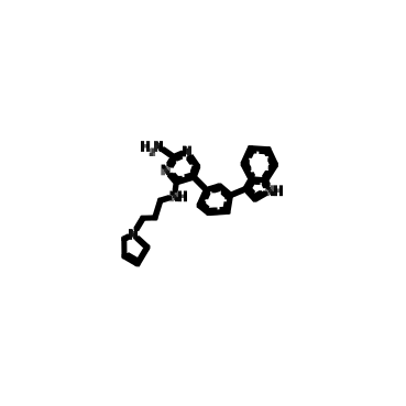 Nc1ncc(-c2cccc(-c3c[nH]c4ccccc34)c2)c(NCCCN2CC=CC2)n1